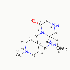 COCC12CNCC(=O)N1CC1(CCN(C(C)=O)CC1)CN2